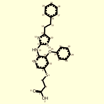 O=C(O)CCSc1cnc(Nc2nc(CCc3ccccc3)cs2)c(Oc2ccccc2)c1